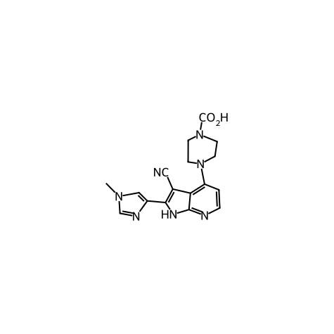 Cn1cnc(-c2[nH]c3nccc(N4CCN(C(=O)O)CC4)c3c2C#N)c1